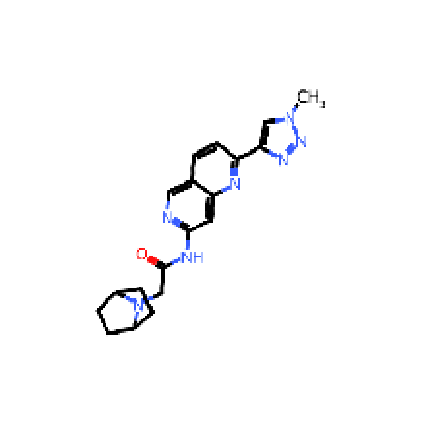 Cn1cc(-c2ccc3cnc(NC(=O)CN4C5CCC4CC5)cc3n2)nn1